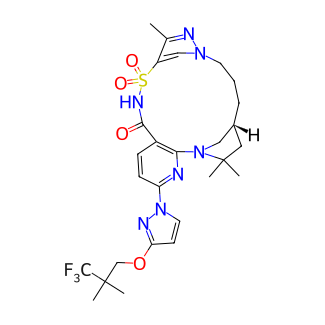 Cc1nn2cc1S(=O)(=O)NC(=O)c1ccc(-n3ccc(OCC(C)(C)C(F)(F)F)n3)nc1N1C[C@H](CCC2)CC1(C)C